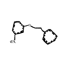 C[CH]c1cccc(OCCc2ccccc2)c1